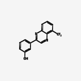 Oc1cccc(-c2cnc3c(C(F)(F)F)cccc3n2)c1